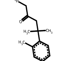 [2H]CC(=O)CC(C)(C)c1ccccc1C